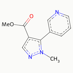 COC(=O)c1cnn(C)c1-c1cccnc1